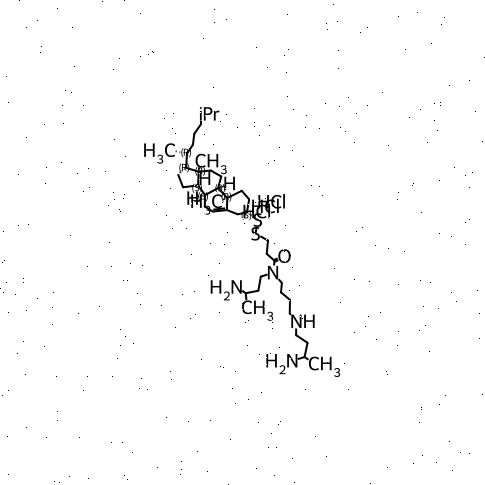 CC(C)CCC[C@@H](C)[C@H]1CC[C@H]2[C@@H]3CC=C4C[C@@H](SSCCC(=O)N(CCCCNCCC(C)N)CCC(C)N)CC[C@]4(C)[C@H]3CC[C@]12C.Cl.Cl.Cl